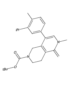 C=C1C2=C(CN(C(=O)OC(C)(C)C)CC2)C(c2ccc(C)c(C(C)C)c2)=CN1C